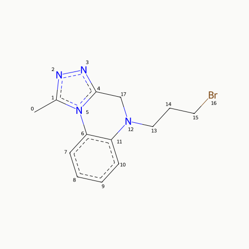 Cc1nnc2n1-c1ccccc1N(CCCBr)C2